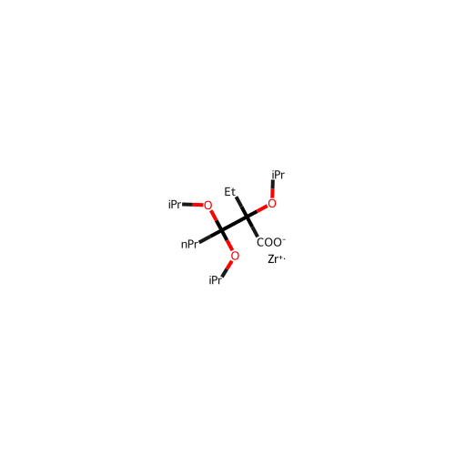 CCCC(OC(C)C)(OC(C)C)C(CC)(OC(C)C)C(=O)[O-].[Zr+]